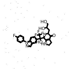 O=C1C2=C(NCC2)C(C(O)(c2ccc3c(cnn3-c3ccc(F)cc3)c2)C(F)(F)F)=NC1CC(O)CO